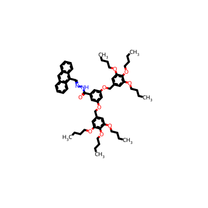 CCCCOc1cc(COc2cc(OCc3cc(OCCCC)c(OCCCC)c(OCCCC)c3)cc(C(=O)N/N=C/c3c4ccccc4cc4ccccc34)c2)cc(OCCCC)c1OCCCC